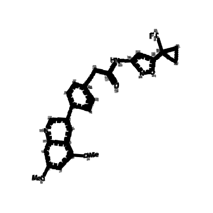 COc1cc(OC)c2cc(-c3ccc(CC(=O)Nc4cc(C5(C(F)(F)F)CC5)on4)cc3)cnc2c1